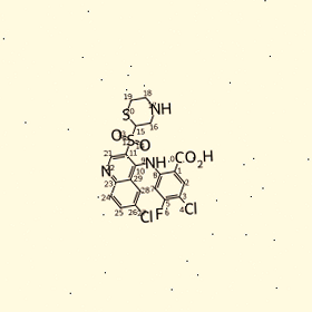 O=C(O)c1cc(Cl)c(F)cc1Nc1c(S(=O)(=O)C2CNCCS2)cnc2ccc(Cl)cc12